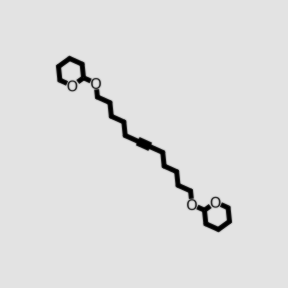 C(#CCCCCCOC1CCCCO1)CCCCCOC1CCCCO1